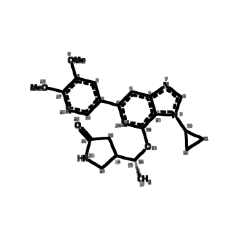 COc1cc(-c2cc3ncn(C4CC4)c3c(O[C@H](C)C3CNC(=O)C3)n2)cnc1OC